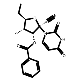 CC[C@H]1O[C@@](C#N)(n2ccc(=O)[nH]c2=O)[C@H](OC(=O)c2ccccc2)[C@@H]1C